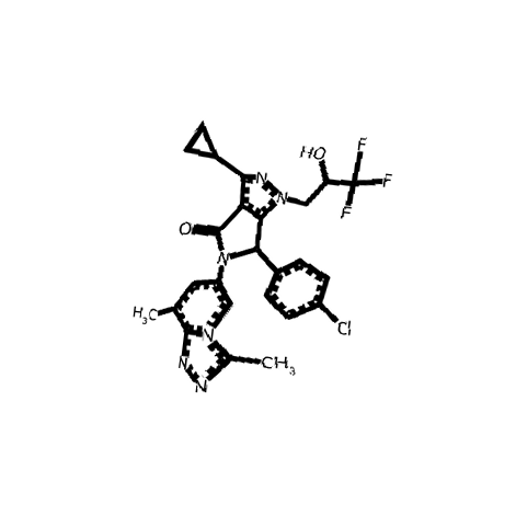 Cc1cc(N2C(=O)c3c(C4CC4)nn(CC(O)C(F)(F)F)c3C2c2ccc(Cl)cc2)cn2c(C)nnc12